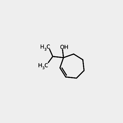 CC(C)C1(O)C=CCCCC1